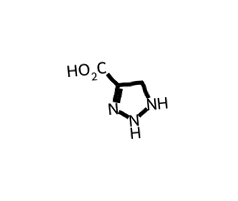 O=C(O)C1=NNNC1